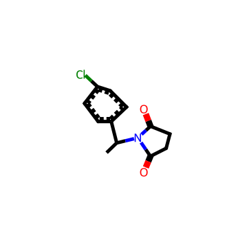 CC(c1ccc(Cl)cc1)N1C(=O)CCC1=O